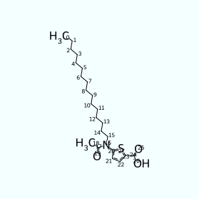 CCCCCCCCCCCCCCCCN(C(C)=O)c1ccc(C(=O)O)s1